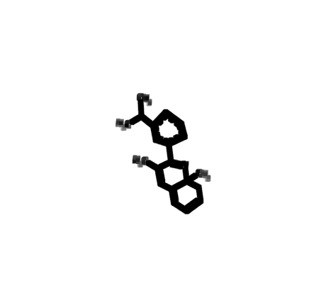 CC1=CC2=CC=CCC2(C)N=C1c1cccc(C(C)C)c1